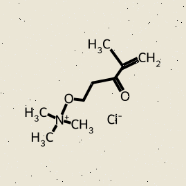 C=C(C)C(=O)CCO[N+](C)(C)C.[Cl-]